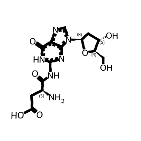 N[C@@H](CC(=O)O)C(=O)Nc1nc2c(ncn2[C@H]2C[C@H](O)[C@@H](CO)O2)c(=O)[nH]1